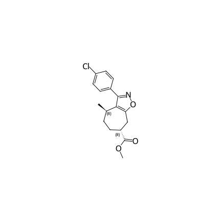 COC(=O)[C@@H]1CC[C@@H](C)c2c(-c3ccc(Cl)cc3)noc2C1